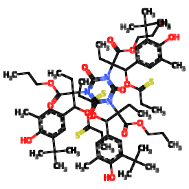 CCCOC(=O)C(CC)(C(OC(=S)CC)c1cc(C)c(O)c(C(C)(C)C)c1)n1c(=O)n(C(CC)(C(=O)OCCC)C(OC(=S)CC)c2cc(C)c(O)c(C(C)(C)C)c2)c(=O)n(C(CC)(C(=O)OCCC)C(OC(=S)CC)c2cc(C)c(O)c(C(C)(C)C)c2)c1=O